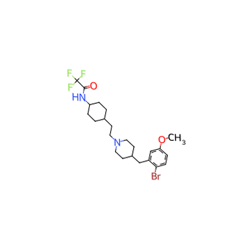 COc1ccc(Br)c(CC2CCN(CCC3CCC(NC(=O)C(F)(F)F)CC3)CC2)c1